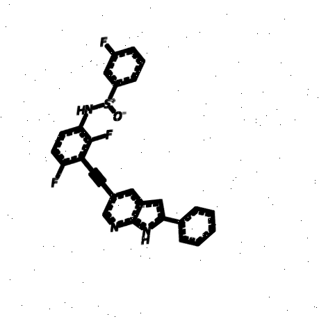 [O-][S+](Nc1ccc(F)c(C#Cc2cnc3[nH]c(-c4ccccc4)cc3c2)c1F)c1cccc(F)c1